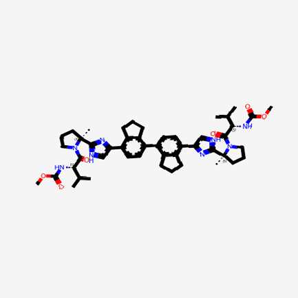 COC(=O)N[C@H](C(=O)N1CCC[C@@]1(C)c1nc(-c2ccc(-c3ccc(-c4c[nH]c([C@]5(C)CCCN5C(=O)[C@@H](NC(=O)OC)C(C)C)n4)c4c3CCC4)c3c2CCC3)c[nH]1)C(C)C